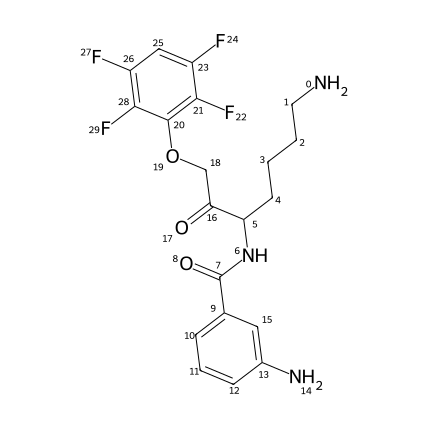 NCCCCC(NC(=O)c1cccc(N)c1)C(=O)COc1c(F)c(F)cc(F)c1F